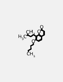 CCCCCOc1ccc2ccc(=O)oc2c1CCC(C)C